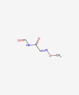 CON=CC(=O)NC=O